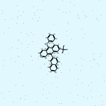 CC(C)(C)c1ccc2c(Oc3ccccc3)c3ccncc3c(-c3ccc4ccccc4c3)c2c1